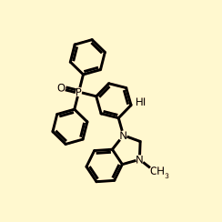 CN1CN(c2cccc(P(=O)(c3ccccc3)c3ccccc3)c2)c2ccccc21.I